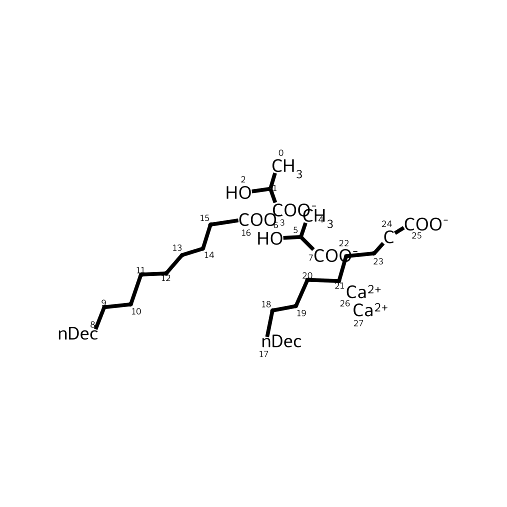 CC(O)C(=O)[O-].CC(O)C(=O)[O-].CCCCCCCCCCCCCCCCCC(=O)[O-].CCCCCCCCCCCCCCCCCC(=O)[O-].[Ca+2].[Ca+2]